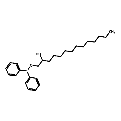 CCCCCCCCCCCCC(O)CO[I+](c1ccccc1)c1ccccc1